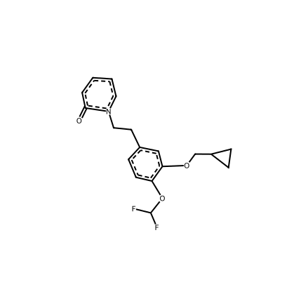 O=c1ccccn1CCc1ccc(OC(F)F)c(OCC2CC2)c1